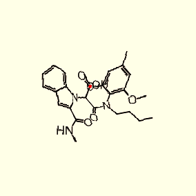 CCCCN(C(=O)C(C(=O)O)n1c(C(=O)NC)cc2ccccc21)c1c(OC)cc(C)cc1OC